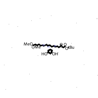 COC(CCCC/C=C/C/C=C/C/C=C/CCC(=O)CC(=O)OC(C)(C)C)OC.Oc1cccc(O)c1